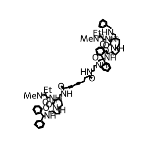 CC[C@H](NC)C(=O)N[C@@H]1C(=O)N2[C@@H](CC[C@@H]1CNC(=O)C#CC#CCCC(=O)NCCNC(=O)C(NC(=O)[C@@H]1CC[C@@H]3CC[C@H](CNCc4ccccc4)[C@H](NC(=O)[C@H](CC)NC)C(=O)N31)(c1ccccc1)c1ccccc1)CC[C@H]2C(=O)NC(c1ccccc1)c1ccccc1